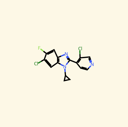 Fc1cc2nc(-c3ccncc3Cl)n(C3CC3)c2cc1Cl